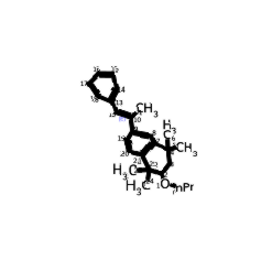 CCCOC1CC(C)(C)c2cc(/C(C)=C/c3ccccc3)ccc2C1(C)C